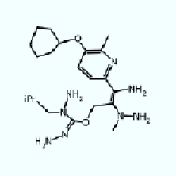 Cc1nc(/C(N)=C(\CO/C(=N/N)N(N)CC(C)C)N(C)N)ccc1OC1CCCCC1